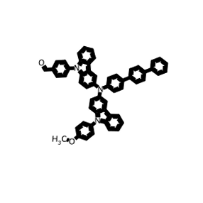 COc1ccc(-n2c3ccccc3c3cc(N(c4ccc(-c5ccc(-c6ccccc6)cc5)cc4)c4ccc5c(c4)c4ccccc4n5-c4ccc(C=O)cc4)ccc32)cc1